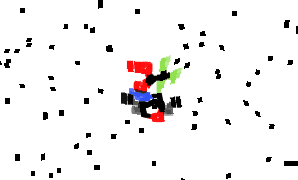 C1O[C@@H]2CN[C@H]1C2.O=C(O)C(F)(F)F